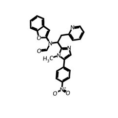 Cn1c(-c2ccc([N+](=O)[O-])cc2)cnc1C(Cc1ccccn1)N(C=O)c1cc2ccccc2o1